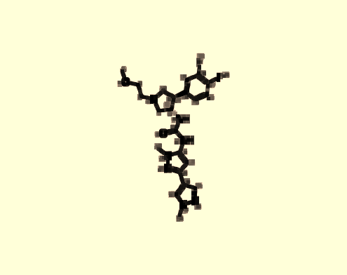 COCCN1C[C@@H](NC(=O)Nc2cc(-c3cnn(C)c3)nn2C)[C@H](c2ccc(F)c(F)c2)C1